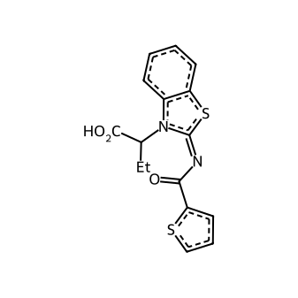 CCC(C(=O)O)n1/c(=N\C(=O)c2cccs2)sc2ccccc21